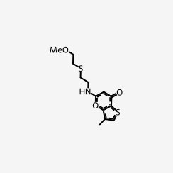 COCCSCCNc1cc(=O)c2scc(C)c2o1